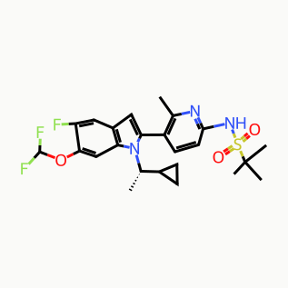 Cc1nc(NS(=O)(=O)C(C)(C)C)ccc1-c1cc2cc(F)c(OC(F)F)cc2n1[C@@H](C)C1CC1